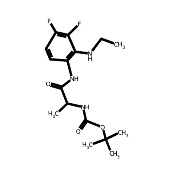 CCNc1c(NC(=O)C(C)NC(=O)OC(C)(C)C)ccc(F)c1F